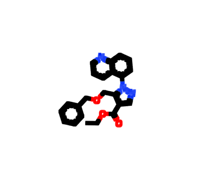 CCOC(=O)c1cnn(-c2cccc3ncccc23)c1COCc1ccccc1